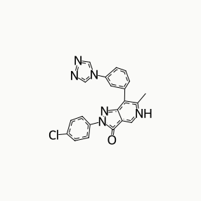 Cc1[nH]cc2c(=O)n(-c3ccc(Cl)cc3)nc-2c1-c1cccc(-n2cnnc2)c1